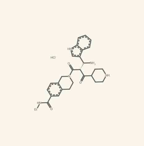 CCNC(=O)c1ccc2c(c1)CCN(C(=O)[C@@H](C(=O)C1CCNCC1)C(N)c1c[nH]c3ccccc13)C2.Cl